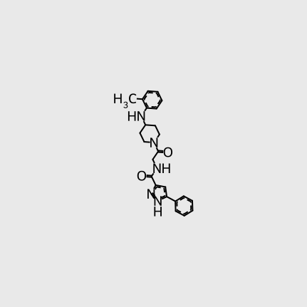 Cc1ccccc1NC1CCN(C(=O)CNC(=O)c2cc(-c3ccccc3)[nH]n2)CC1